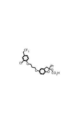 CC(C)[C@]1(OC(=O)O)Cc2cc(OCCCOc3ccc(CC(F)(F)F)cc3Cl)ccc2O1